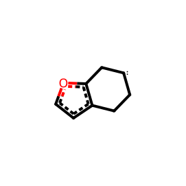 [C]1CCc2ccoc2C1